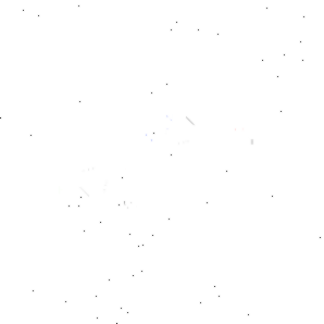 COc1cc(F)ccc1OCCNc1ccc(CCOC(C)C)cn1